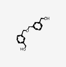 OCc1cccc(COCc2cccc(CO)c2)c1